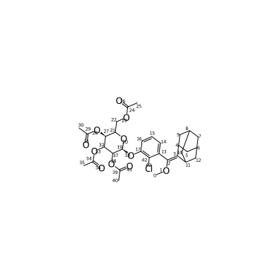 COC(=C1C2CC3CC(C2)CC1C3)c1cccc(O[C@@H]2OC(COC(C)=O)[C@H](OC(C)=O)C(OC(C)=O)C2OC(C)=O)c1Cl